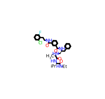 CCNC(=O)[C@@H](NC(=O)[C@H](C)NC[C@H](Cc1ccccc1)NC(=O)c1cccc(C(=O)NCCc2c(F)cccc2Cl)c1)C(C)C